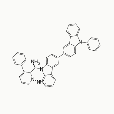 N[C@H](C1C(c2ccccc2)=CC=CN1N)n1c2ccccc2c2cc(-c3ccc4c(c3)c3ccccc3n4-c3ccccc3)ccc21